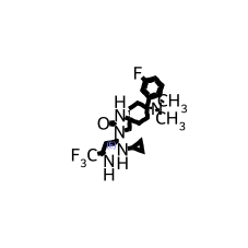 CN(C)[C@]1(c2cccc(F)c2)CC[C@]2(CC1)CN(/C(=C/C(=N)C(F)(F)F)NC1CC1)C(=O)N2